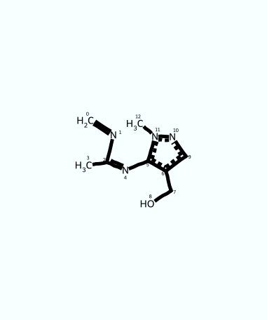 C=N/C(C)=N\c1c(CO)cnn1C